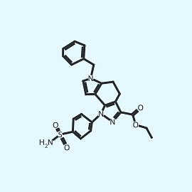 CCOC(=O)c1nn(-c2ccc(S(N)(=O)=O)cc2)c2c1CCc1c-2ccn1Cc1ccccc1